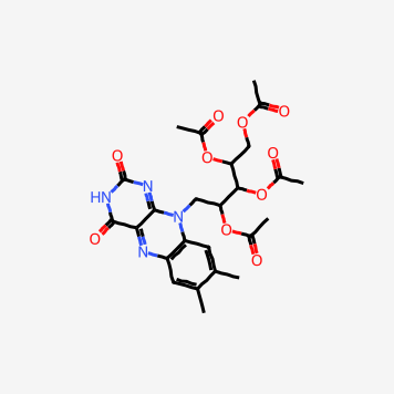 CC(=O)OCC(OC(C)=O)C(OC(C)=O)C(Cn1c2nc(=O)[nH]c(=O)c-2nc2cc(C)c(C)cc21)OC(C)=O